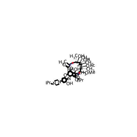 CCCOc1c(C)c(O)c2c(=O)c3c4oc5cc(N6CCN(CC(C)C)CC6)cc(O)c5nc-4c2c1C(=O)O/C=C/[C@H](OC)[C@@H](C)[C@@H](OC(C)=O)[C@H](C)[C@H](O)[C@H](C)[C@@H](O)[C@@H](C)/C=C/C=C(/C)C(=O)N3